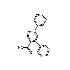 OC(=S)c1ccc(-c2ccccc2)cc1-c1ccccc1